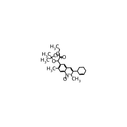 CCOC(=O)C(OC(C)(C)C)c1cc2cc(C3C=CCCC3)c(C)[n+]([O-])c2cc1C